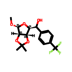 CO[C@@H]1O[C@H](C(O)c2ccc(C(F)(F)F)cc2)[C@H]2OC(C)(C)O[C@@H]12